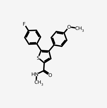 CNC(=O)c1cc(-c2ccc(OC)cc2)c(-c2ccc(F)cc2)s1